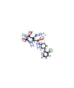 Nc1c(C(=O)NC2CCC(c3ncccc3Cl)C2)[nH]c(=O)[nH]c1=O